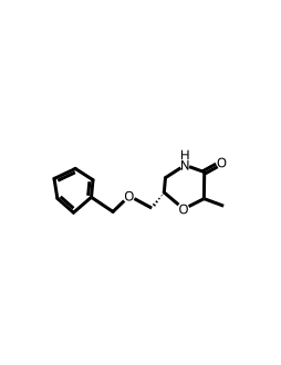 CC1O[C@H](COCc2ccccc2)CNC1=O